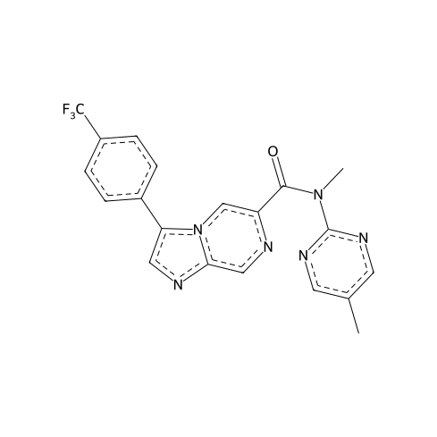 Cc1cnc(N(C)C(=O)c2cn3c(-c4ccc(C(F)(F)F)cc4)cnc3cn2)nc1